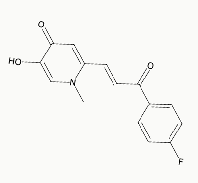 Cn1cc(O)c(=O)cc1/C=C/C(=O)c1ccc(F)cc1